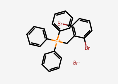 Brc1cccc(Br)c1C[P+](c1ccccc1)(c1ccccc1)c1ccccc1.[Br-]